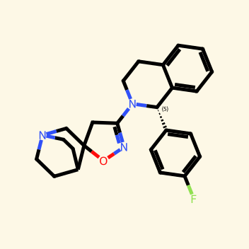 Fc1ccc([C@H]2c3ccccc3CCN2C2=NOC3(C2)CN2CCC3CC2)cc1